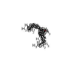 CC1=C(C(=O)OC2CC[C@@]3(C)C(=CCC4C3CC[C@@]3(C)C4CC[C@@H]3[C@H](C)CCCC(C)C)C2)C(c2ccc[n+](C)c2)C(C(=O)OC2CC[C@@]3(C)C(=CCC4C3CC[C@@]3(C)C4CC[C@@H]3[C@H](C)CCCC(C)C)C2)=C(C)N1.I.[I-]